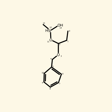 CCC(OCc1ccccc1)O[SiH](C)O